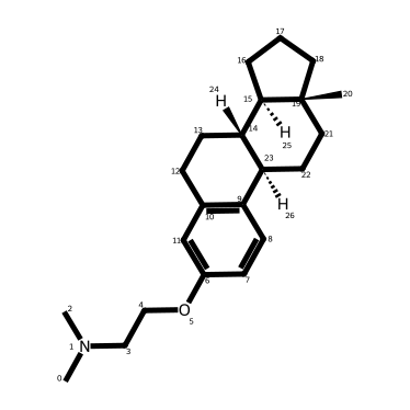 CN(C)CCOc1ccc2c(c1)CC[C@@H]1[C@H]3CCC[C@]3(C)CC[C@@H]21